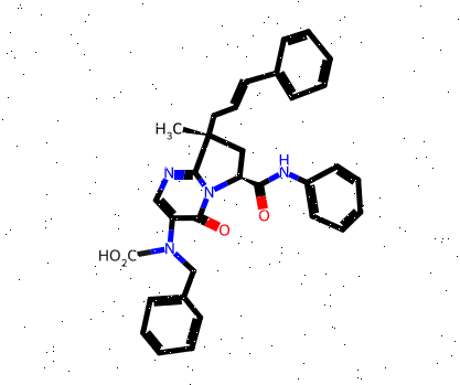 C[C@@]1(C/C=C/c2ccccc2)C[C@@H](C(=O)Nc2ccccc2)n2c1ncc(N(Cc1ccccc1)C(=O)O)c2=O